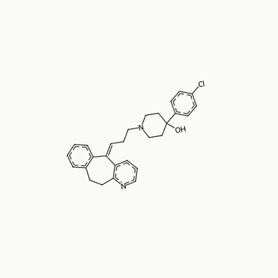 OC1(c2ccc(Cl)cc2)CCN(CC/C=C2/c3ccccc3CCc3ncccc32)CC1